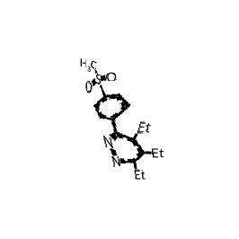 CCc1nnc(-c2ccc(S(C)(=O)=O)cc2)c(CC)c1CC